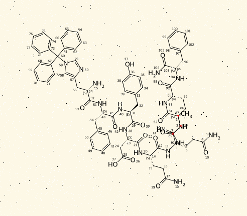 C[C@H](NC(=O)[C@H](CCC(N)=O)NC(=O)[C@H](CCC(N)=O)NC(=O)[C@H](CC(=O)O)NC(=O)[C@H](Cc1ccc(O)cc1)NC(=O)[C@H](Cc1ccccc1)NC(=O)[C@@H](N)Cc1cn(C(c2ccccc2)(c2ccccc2)c2ccccc2)cn1)C(=O)N[C@@H](CCCNC(=N)N)C(=O)N[C@@H](Cc1ccccc1)C(N)=O